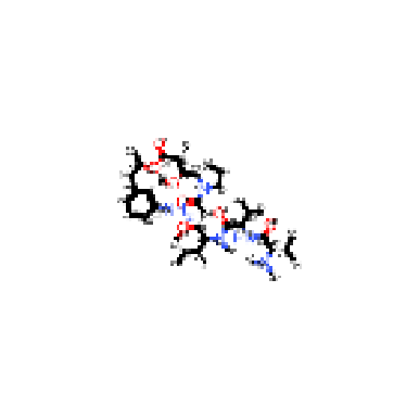 CC[C@H](C)[C@@H]([C@@H](CC(=O)N1CCC[C@H]1[C@H](OC)[C@@H](C)C(=O)OC(C)Cc1cccc(N)c1)OC)N(C)C(=O)[C@@H](NC(=O)[C@H](C(C)C)N(C)C)C(C)C